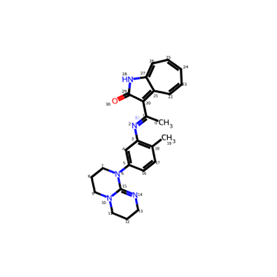 C/C(=N\c1cc(N2CCCN3CCCN=C32)ccc1C)c1c2cccccc-2[nH]c1=O